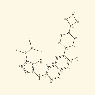 FC(F)C(F)n1ncc(Nc2ncc3cc(Cl)c(C4CCN(C5COC5)CC4)cc3n2)c1Cl